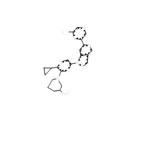 Cc1cncc(-c2cc3c(cn2)cnn3-c2cnc(C3CC3)c(N3CCCC(N)C3)n2)n1